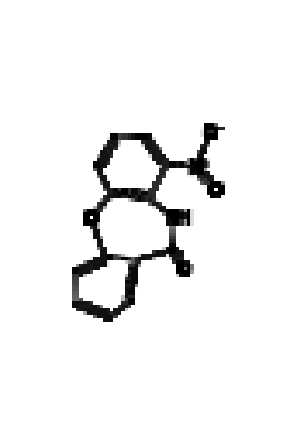 O=C1Nc2c(cccc2[N+](=O)[O-])Oc2ccccc21